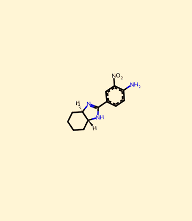 Nc1ccc(C2=N[C@@H]3CCCC[C@H]3N2)cc1[N+](=O)[O-]